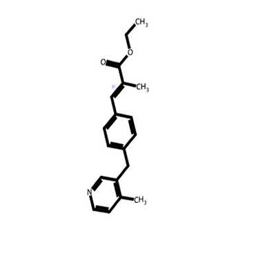 CCOC(=O)/C(C)=C/c1ccc(Cc2cnccc2C)cc1